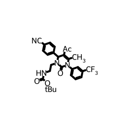 CC(=O)C1=C(C)N(c2cccc(C(F)(F)F)c2)C(=O)N(CCNC(=O)OC(C)(C)C)C1c1ccc(C#N)cc1